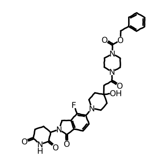 O=C1CCC(N2Cc3c(ccc(N4CCC(O)(CC(=O)N5CCN(C(=O)OCc6ccccc6)CC5)CC4)c3F)C2=O)C(=O)N1